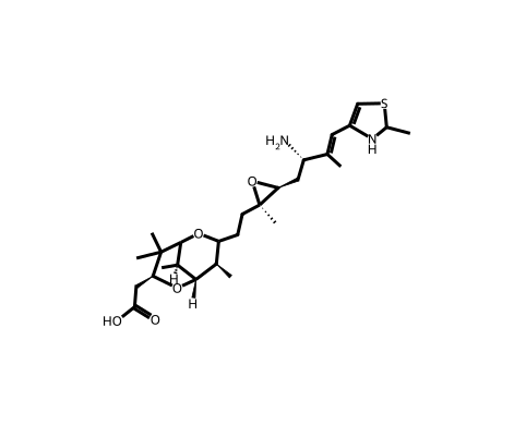 C/C(=C\C1=CSC(C)N1)[C@@H](N)C[C@@H]1O[C@]1(C)CCC1OC2[C@H](C)[C@@H](O[C@@H](CC(=O)O)C2(C)C)[C@@H]1C